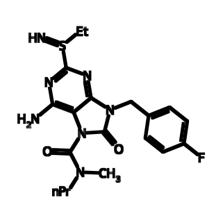 CCCN(C)C(=O)n1c(=O)n(Cc2ccc(F)cc2)c2nc(S(=N)CC)nc(N)c21